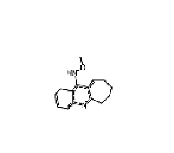 CONc1c2c(nc3c1=CCCCC3)=CC=CC2